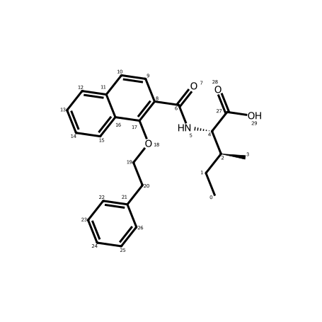 CC[C@H](C)[C@H](NC(=O)c1ccc2ccccc2c1OCCc1ccccc1)C(=O)O